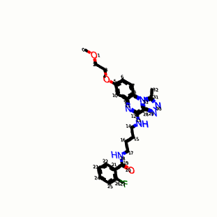 COCCOc1ccc2c(c1)nc(NCCCCNC(=O)c1ccccc1F)c1nnc(C)n12